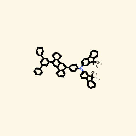 CC1(C)c2ccccc2-c2ccc(N(c3ccc(-c4cc5c6ccccc6c(-c6cc(-c7ccccc7)cc(-c7ccccc7)c6)cc5c5ccccc45)cc3)c3ccc4c(c3)C(C)(C)c3ccccc3-4)cc21